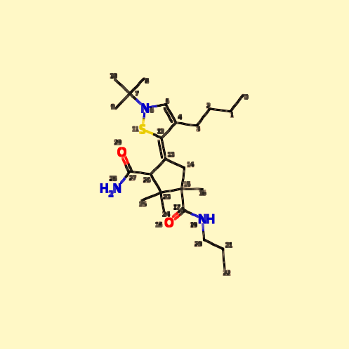 CCCCC1=CN(C(C)(C)C)S/C1=C1/CC(C)(C(=O)NCCC)C(C)(C)C1C(N)=O